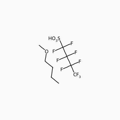 CCCCOC.O=S(=O)(O)C(F)(F)C(F)(F)C(F)(F)C(F)(F)F